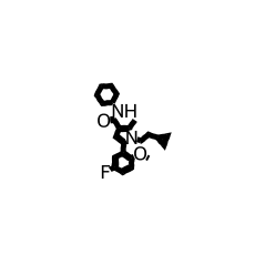 COc1ccc(F)cc1-c1cc(C(=O)NC2CCCCC2)c(C)n1CCC1CC1